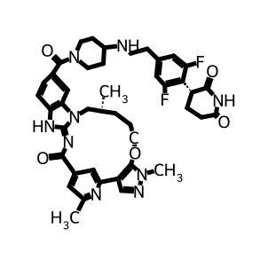 Cc1cc2cc(n1)-c1cnn(C)c1OCCC[C@@H](C)CN1/C(=N/C2=O)Nc2ccc(C(=O)N3CCC(NCCc4cc(F)c([C@H]5CCC(=O)NC5=O)c(F)c4)CC3)cc21